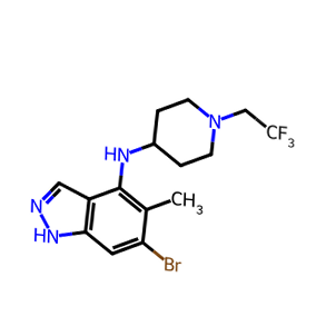 Cc1c(Br)cc2[nH]ncc2c1NC1CCN(CC(F)(F)F)CC1